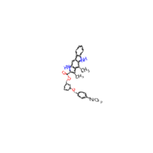 Cc1c(C(=O)OCc2cccc(OCc3ccc([N+](=O)[O-])cc3)c2)[nH]c2cc3c([nH]c4ccccc43)c(C)c12